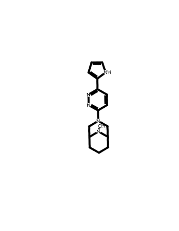 CN1C2CCCC1CN(c1ccc(-c3ccc[nH]3)nn1)C2